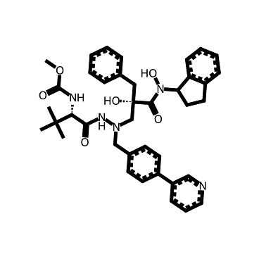 COC(=O)N[C@H](C(=O)NN(Cc1ccc(-c2cccnc2)cc1)C[C@@](O)(Cc1ccccc1)C(=O)N(O)C1CCc2ccccc21)C(C)(C)C